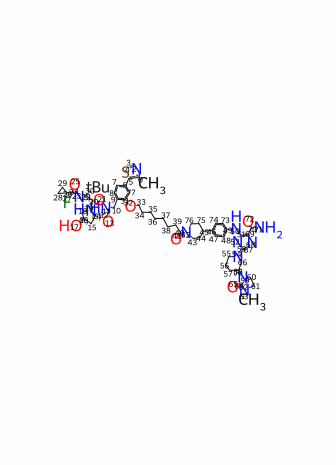 Cc1ncsc1-c1ccc(CNC(=O)[C@@H]2C[C@@H](O)CN2C(=O)[C@@H](NC(=O)C2(F)CC2)C(C)(C)C)c(OCCCCCCCC(=O)N2CCC(c3ccc(Nc4nc(N5CCC[C@@H](N6CCN(C)C6=O)C5)cnc4C(N)=O)cc3)CC2)c1